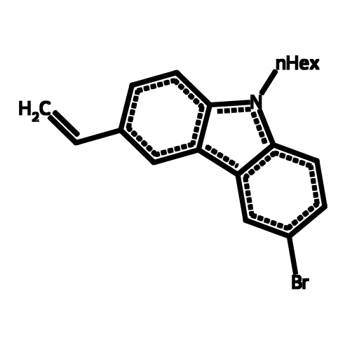 C=Cc1ccc2c(c1)c1cc(Br)ccc1n2CCCCCC